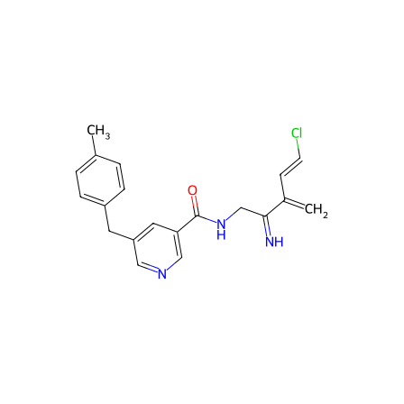 C=C(/C=C/Cl)C(=N)CNC(=O)c1cncc(Cc2ccc(C)cc2)c1